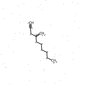 C#CCC(=C)CCCCCC